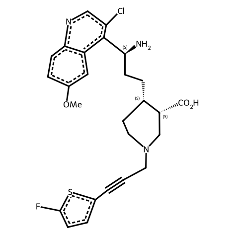 COc1ccc2ncc(Cl)c([C@@H](N)CC[C@H]3CCN(CC#Cc4ccc(F)s4)C[C@H]3C(=O)O)c2c1